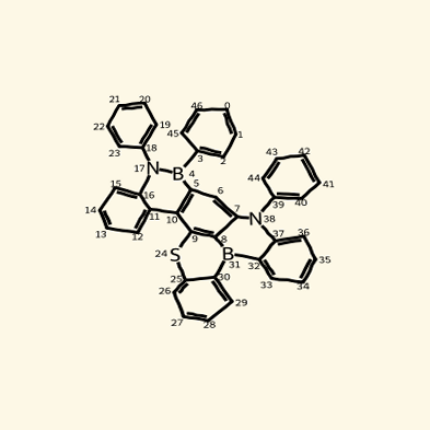 c1ccc(B2c3cc4c5c(c3-c3ccccc3N2c2ccccc2)Sc2ccccc2B5c2ccccc2N4c2ccccc2)cc1